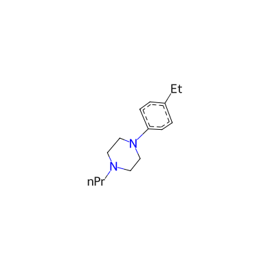 CCCN1CCN(c2ccc(CC)cc2)CC1